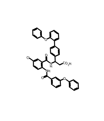 O=C(O)CC(NC(=O)c1cc(Cl)ccc1NC(=O)c1cccc(Oc2ccccc2)c1)c1ccc(-c2ccccc2Oc2ccccc2)cc1